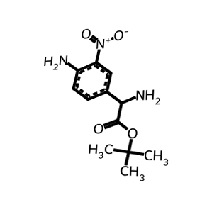 CC(C)(C)OC(=O)C(N)c1ccc(N)c([N+](=O)[O-])c1